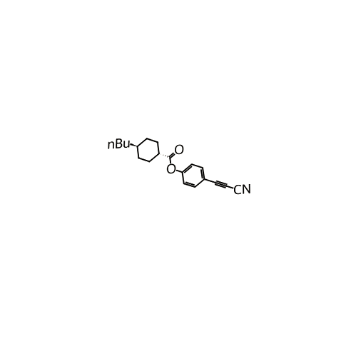 CCCC[C@H]1CC[C@H](C(=O)Oc2ccc(C#CC#N)cc2)CC1